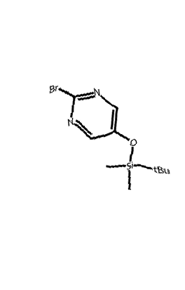 CC(C)(C)[Si](C)(C)Oc1cnc(Br)nc1